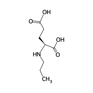 CCCN[C@@H](CCC(=O)O)C(=O)O